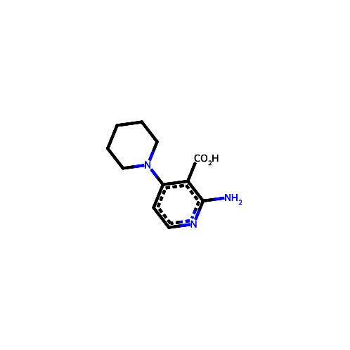 Nc1nccc(N2CCCCC2)c1C(=O)O